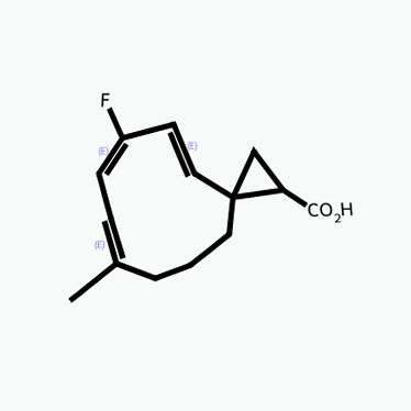 C\C1=C/C=C(F)\C=C\C2(CCC1)CC2C(=O)O